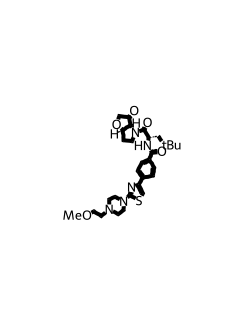 COCCN1CCN(c2nc(-c3ccc(C(=O)N[C@@H](CC(C)(C)C)C(=O)N4CC[C@H]5OCC(=O)[C@H]54)cc3)cs2)CC1